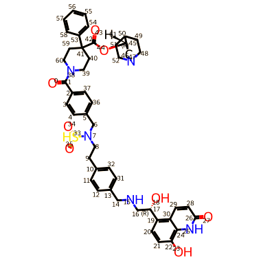 O=C(c1ccc(CN(CCc2ccc(CNC[C@H](O)c3ccc(O)c4[nH]c(=O)ccc34)cc2)[SH](=O)=O)cc1)N1CCC(C(=O)O[C@H]2CN3CCC2CC3)(c2ccccc2)CC1